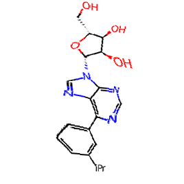 CC(C)c1cccc(-c2ncnc3c2ncn3[C@@H]2O[C@H](CO)[C@@H](O)[C@H]2O)c1